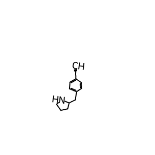 C#Cc1ccc(CC2CCCN2)cc1